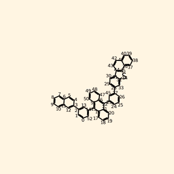 c1cc(-c2ccc3ccccc3c2)cc(-c2c3ccccc3c(-c3cccc(-c4ccc5c(c4)sc4c6ccccc6ccc54)c3)c3ccccc23)c1